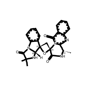 C[C@@H]1NC(=O)[C@@]2(C[C@]3(O2)c2ccccc2N2C(=O)C(C)(C)N[C@H]23)n2c1nc1ccccc1c2=O